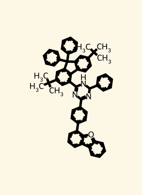 CC(C)(C)c1ccc2c(c1)C(c1ccccc1)(c1ccccc1)c1cc(C(C)(C)C)cc(C3=NC(c4ccc(-c5cccc6c5oc5ccccc56)cc4)=NC(c4ccccc4)N3)c1-2